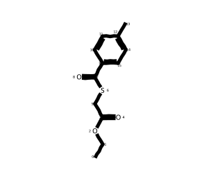 CCOC(=O)CSC(=O)c1ccc(C)cc1